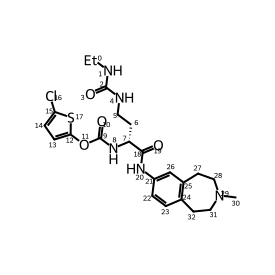 CCNC(=O)NCC[C@@H](NC(=O)Oc1ccc(Cl)s1)C(=O)Nc1ccc2c(c1)CCN(C)CC2